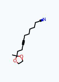 CC1(CCC#CCCCCCC#N)OCCO1